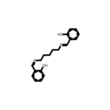 Oc1ccccc1/C=N\CCCCC/N=C/c1ccccc1O